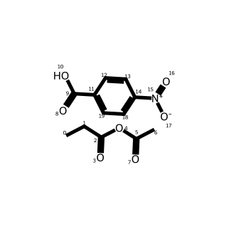 CCC(=O)OC(C)=O.O=C(O)c1ccc([N+](=O)[O-])cc1